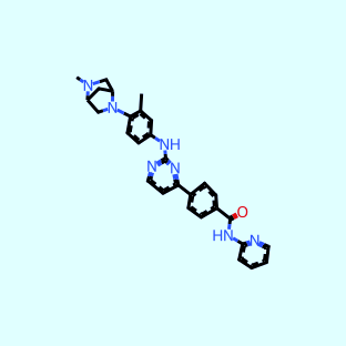 Cc1cc(Nc2nccc(-c3ccc(C(=O)Nc4ccccn4)cc3)n2)ccc1N1CC2CC1CN2C